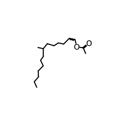 CCCCCCCC(C)CCCC/C=C\OC(C)=O